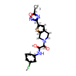 O=C(Nc1cccc(F)c1)C(=O)N1CCc2cc(-c3noc(C(F)(F)F)n3)sc2C1